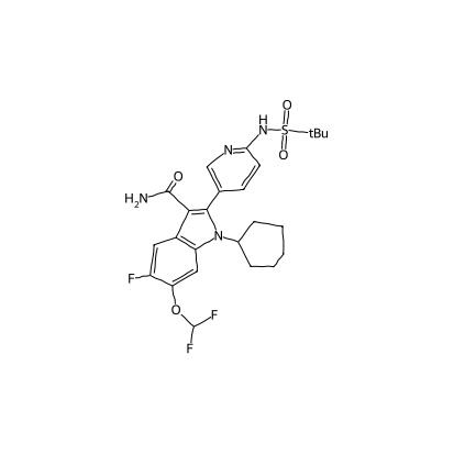 CC(C)(C)S(=O)(=O)Nc1ccc(-c2c(C(N)=O)c3cc(F)c(OC(F)F)cc3n2C2CCCCC2)cn1